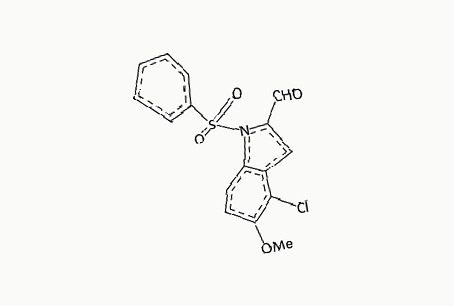 COc1ccc2c(cc(C=O)n2S(=O)(=O)c2ccccc2)c1Cl